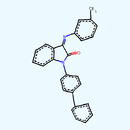 O=C1C(=Nc2cccc(C(F)(F)F)c2)c2ccccc2N1c1ccc(-c2ccccc2)cc1